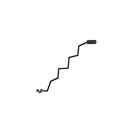 [C]#CCCCCCCCCC